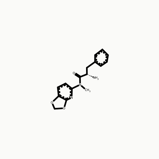 CN(C(=O)[C@@H](N)Cc1ccccc1)c1ccc2c(n1)OCO2